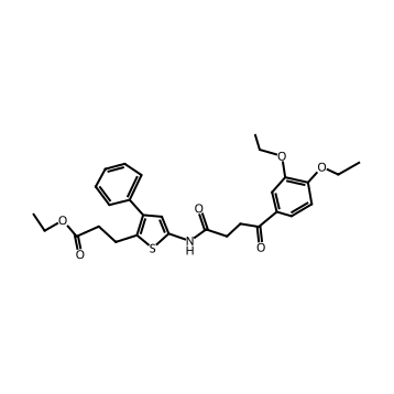 CCOC(=O)CCc1sc(NC(=O)CCC(=O)c2ccc(OCC)c(OCC)c2)cc1-c1ccccc1